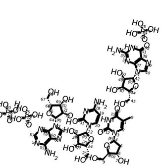 Cc1cn([C@H]2C[C@H](O)[C@@H](CO)O2)c(=O)[nH]c1=O.Nc1ccn([C@@H]2O[C@H](CO)[C@@H](O)[C@H]2O)c(=O)n1.Nc1nc2c(ncn2[C@@H]2O[C@H](CO)[C@@H](O)[C@H]2O)c(=O)[nH]1.Nc1ncnc2c1ncn2[C@@H]1O[C@H](CO)[C@@H](O)[C@H]1O.O=P(O)(O)O.O=P(O)(O)O.O=P(O)(O)O